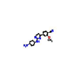 COc1cc(-c2ccnc(Nc3ccc(N)cc3)n2)ccc1C#N